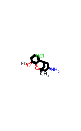 CCOc1cccc2c1OC1(C)CC(N)CC2C1.Cl